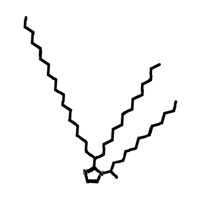 CCCCCCCCCCCCCCCCCCC(CCCCCCCCCCCCC)c1nccn1C(C)CCCCCCCCCCC